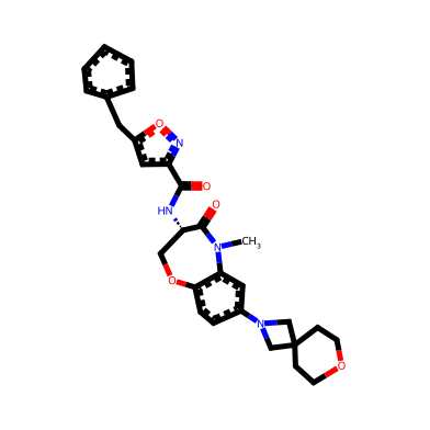 CN1C(=O)[C@@H](NC(=O)c2cc(Cc3ccccc3)on2)COc2ccc(N3CC4(CCOCC4)C3)cc21